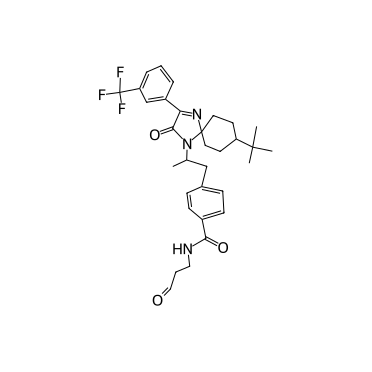 CC(Cc1ccc(C(=O)NCCC=O)cc1)N1C(=O)C(c2cccc(C(F)(F)F)c2)=NC12CCC(C(C)(C)C)CC2